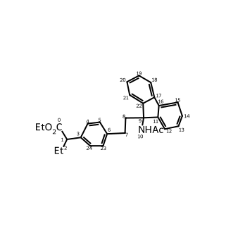 CCOC(=O)C(CC)c1ccc(CCC2(NC(C)=O)c3ccccc3-c3ccccc32)cc1